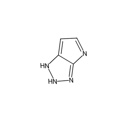 c1cc2[nH][nH]nc-2n1